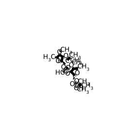 COC1[C@H](C)O[C@H](COP(=O)(O)O[C@@H]2C(OC)[C@H](C)O[C@@H]2COP(=O)(O)C(C)(C)C)[C@@H]1OC(C)(C)C